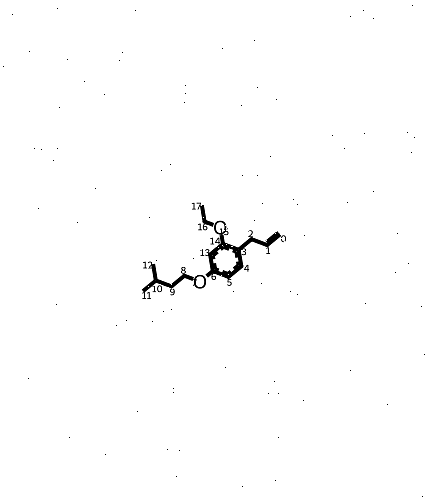 C=CCc1ccc(OCCC(C)C)cc1OCC